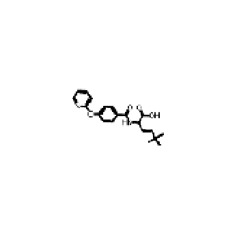 CC(C)(C)/C=C/C(NC(=O)c1ccc(Oc2ccccn2)cc1)C(=O)O